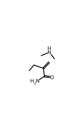 C=C(CC)C(N)=O.CNC